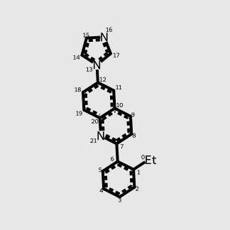 CCc1ccccc1-c1ccc2cc(-n3ccnc3)ccc2n1